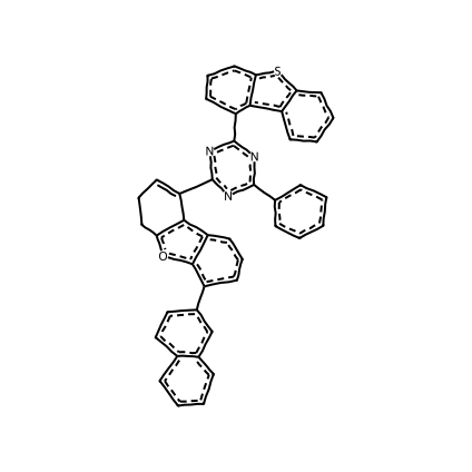 C1=C(c2nc(-c3ccccc3)nc(-c3cccc4sc5ccccc5c34)n2)c2c(oc3c(-c4ccc5ccccc5c4)cccc23)CC1